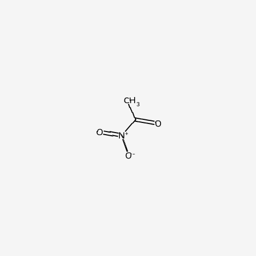 CC(=O)[N+](=O)[O-]